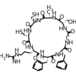 C[C@@H]1NC(=O)[C@H](CO)NC(=O)CNC(=O)[C@H](Cc2ccccc2)NC(=O)[C@H](Cc2ccccc2)NC(=O)[C@H](CCCNC(=N)N)NC(=O)[C@H](CS)NC(=O)[C@H](CS)NC1=O